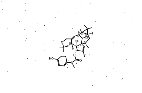 CC1=C[C@]23C(O)[C@@H](C=C4COC(C)(C)O[C@H]4[C@]2(O)[C@H]1OC(=O)N(C)c1ccc(C#N)cc1)[C@H]1[C@@H](C[C@H]3C)C1(C)C